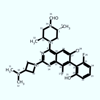 C[C@@H]1CN(c2nc(N3CC(N(C)C)C3)nc3c(F)c(-c4c(O)cccc4F)c(Cl)cc23)[C@@H](C)CN1C=O